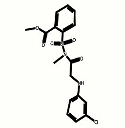 COC(=O)c1ccccc1S(=O)(=O)N(C)C(=O)CNc1cccc(Cl)c1